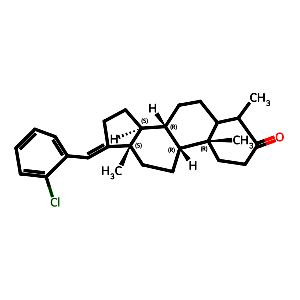 CC1C(=O)CC[C@@]2(C)C1CC[C@@H]1[C@H]2CC[C@]2(C)C(=Cc3ccccc3Cl)CC[C@@H]12